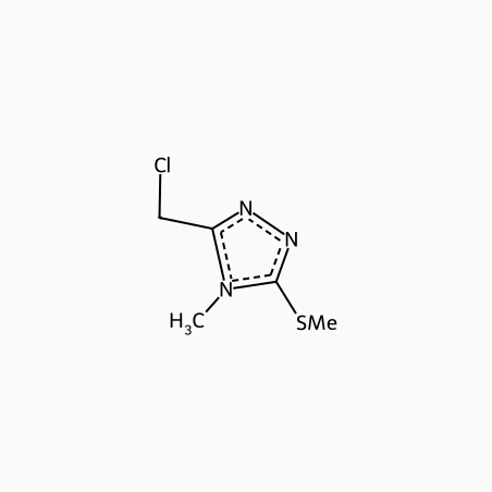 CSc1nnc(CCl)n1C